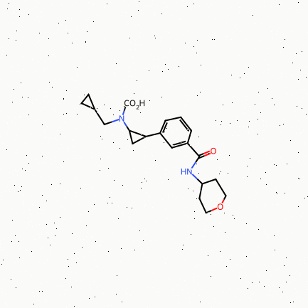 O=C(NC1CCOCC1)c1cccc(C2CC2N(CC2CC2)C(=O)O)c1